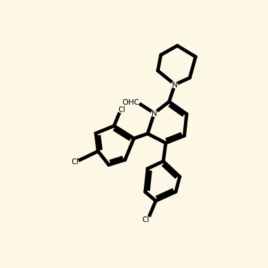 O=CN1C(N2CCCCC2)=CC=C(c2ccc(Cl)cc2)C1c1ccc(Cl)cc1Cl